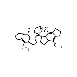 CC1=C2CCCC2=C(C)C2C1CCC2[Si]1(C2CCC3C(C)=C4CCCC4=C(C)C32)CCCC1